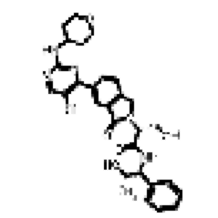 C[C@H](O)[C@@H](NC(=O)[C@@H](CO)N1Cc2ccc(-c3nc(NC4CCOCC4)ncc3Cl)cc2C1=O)c1ccccc1